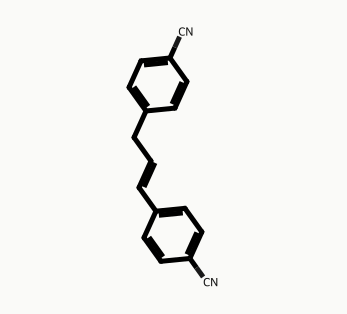 N#Cc1ccc(/C=C/Cc2ccc(C#N)cc2)cc1